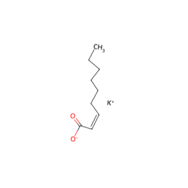 CCCCCC/C=C\C(=O)[O-].[K+]